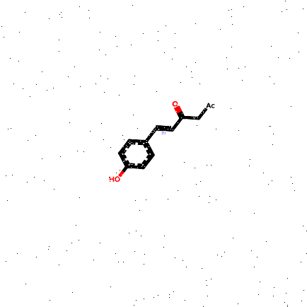 CC(=O)CC(=O)/C=C/c1ccc(O)cc1